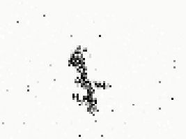 COc1cc2c(Oc3ccc(NC(=O)c4cc(C(F)(F)F)ccc4F)cc3)ccnc2cc1OCC[C@H](N)C(=O)OC1CCCC1